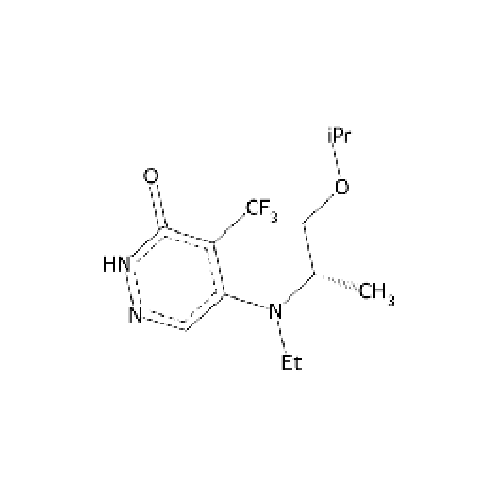 CCN(c1cn[nH]c(=O)c1C(F)(F)F)[C@@H](C)COC(C)C